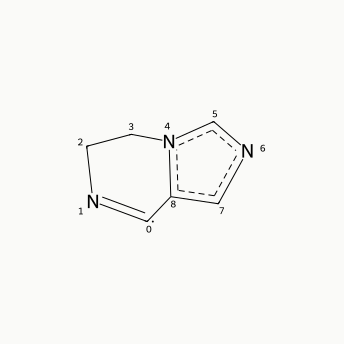 [C]1=NCCn2cncc21